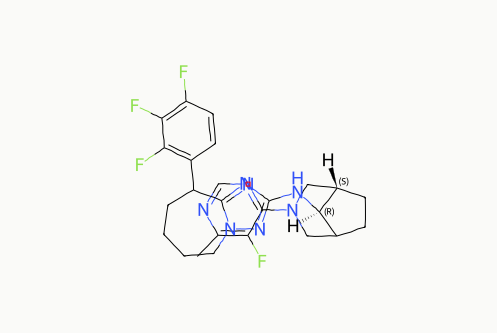 Cc1ncnc(N2CC3CC[C@@H](C2)[C@@H]3Nc2nc3n(n2)CCCCC3c2ccc(F)c(F)c2F)c1F